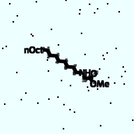 CCCCCCCCCCCCCCCCNCC(=O)OC